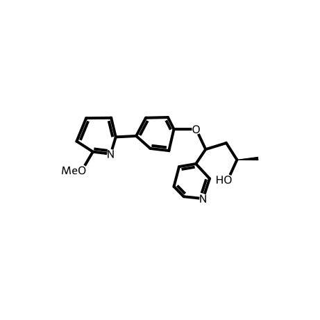 COc1cccc(-c2ccc(OC(C[C@@H](C)O)c3cccnc3)cc2)n1